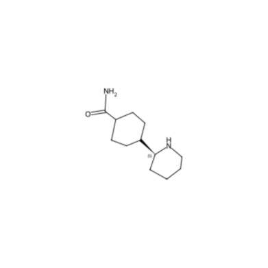 NC(=O)C1CCC([C@@H]2CCCCN2)CC1